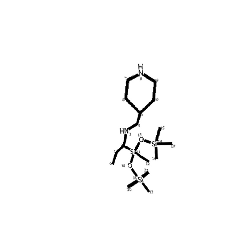 CCC(NCC1CCNCC1)[Si](C)(O[Si](C)(C)C)O[Si](C)(C)C